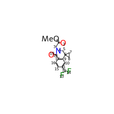 COC(=O)CN1CC2(CC2)c2cc(C(F)F)ccc2C1=O